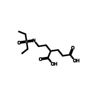 CCS(=O)(CC)=NCCC(CCC(=O)O)C(=O)O